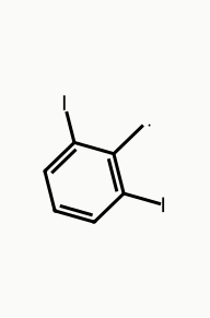 [CH2]c1c(I)cccc1I